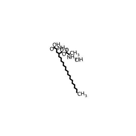 CCCCCCCCCCCCCCCCCCC(C[C@@H](N)C(=O)O)C(=O)OC(=O)[C@@H](C)N.Cl